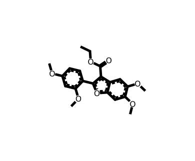 CCOC(=O)c1c(-c2ccc(OC)cc2OC)oc2cc(OC)c(OC)cc12